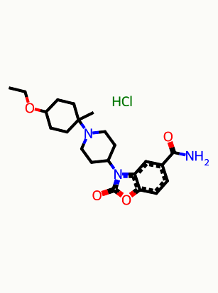 CCOC1CCC(C)(N2CCC(n3c(=O)oc4ccc(C(N)=O)cc43)CC2)CC1.Cl